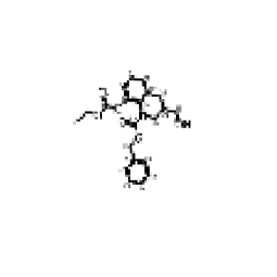 CCOC(=O)Oc1cccc2c1N(C(=O)OCc1ccccc1)CC(CO)C2